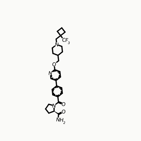 NC(=O)[C@H]1CCCN1C(=O)c1ccc(-c2ccc(OCC3CCN(CC4(C(F)(F)F)CCC4)CC3)nc2)cc1